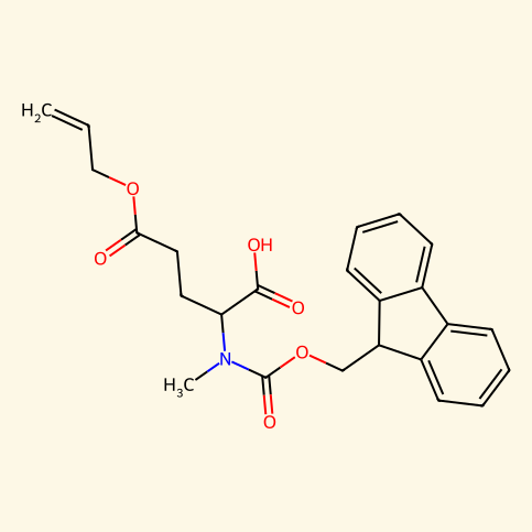 C=CCOC(=O)CCC(C(=O)O)N(C)C(=O)OCC1c2ccccc2-c2ccccc21